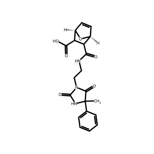 CC1(c2ccccc2)NC(=O)N(CCNC(=O)C2C(C(=O)O)[C@H]3C=C[C@@H]2O3)C1=O